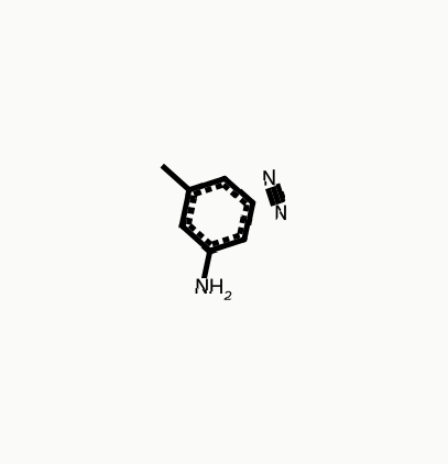 Cc1cccc(N)c1.N#N